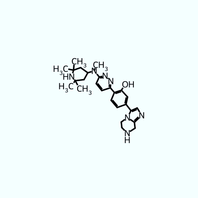 CN(c1ccc(-c2ccc(-c3cnc4n3CCNC4)cc2O)nn1)C1CC(C)(C)NC(C)(C)C1